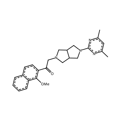 COc1c(C(=O)CN2CC3CN(c4nc(C)cc(C)n4)CC3C2)ccc2ccccc12